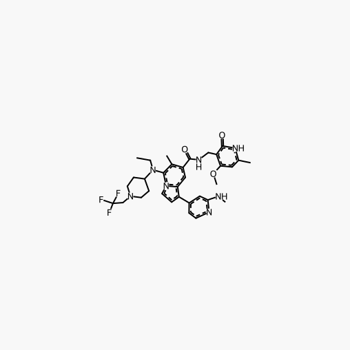 CCN(c1c(C)c(C(=O)NCc2c(OC)cc(C)[nH]c2=O)cc2c(-c3ccnc(NC)c3)ccn12)C1CCN(CC(F)(F)F)CC1